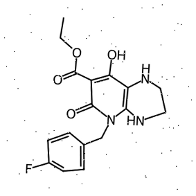 CCOC(=O)c1c(O)c2c(n(Cc3ccc(F)cc3)c1=O)NCCN2